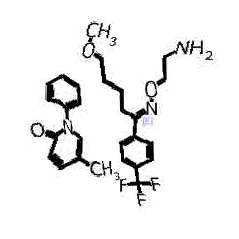 COCCCC/C(=N\OCCN)c1ccc(C(F)(F)F)cc1.Cc1ccc(=O)n(-c2ccccc2)c1